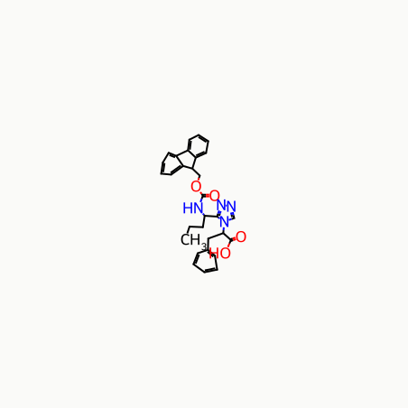 CCCC(NC(=O)OCC1c2ccccc2-c2ccccc21)c1nncn1C(Cc1ccccc1)C(=O)O